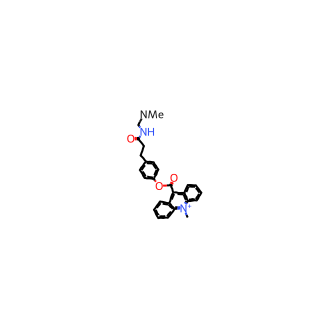 CNCNC(=O)CCc1ccc(OC(=O)c2c3ccccc3[n+](C)c3ccccc23)cc1